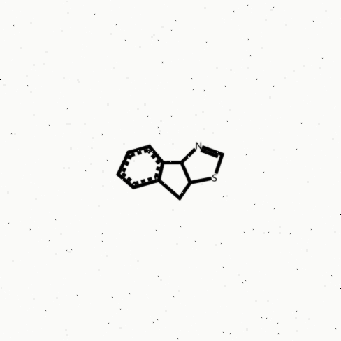 C1=NC2c3ccccc3CC2S1